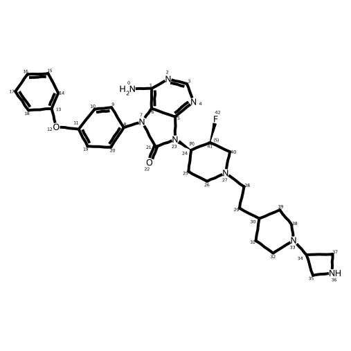 Nc1ncnc2c1n(-c1ccc(Oc3ccccc3)cc1)c(=O)n2[C@@H]1CCN(CCC2CCN(C3CNC3)CC2)C[C@@H]1F